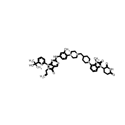 C=CCn1c(=O)c2cnc(Nc3ccc(N4CCN(CC5CCN(c6cccc7c6n(C)c(=O)n7C6CCC(=O)NC6=O)CC5)CC4)c(C)c3)nc2n1-c1cccc(C(C)(C)O)n1